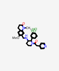 COc1cc2c(cc1CNC1CCCN(C(=O)Cc3ccncc3)C1c1ccccc1)N(C)C(=O)CC2.Cl.Cl